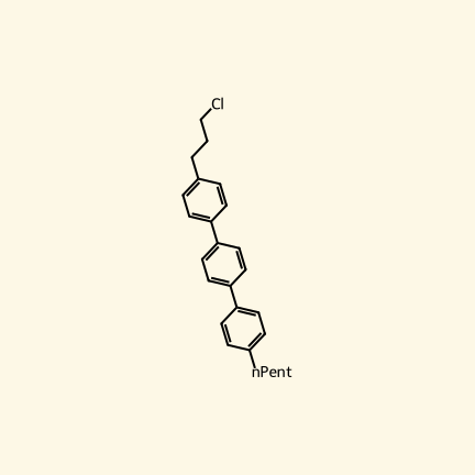 CCCCCc1ccc(-c2ccc(-c3ccc(CCCCl)cc3)cc2)cc1